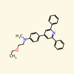 CCOCCN(C)c1ccc(-c2cc(-c3ccccc3)nc(-c3ccccc3)c2)cc1